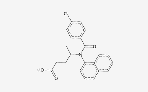 CC(CCC(=O)O)N(C(=O)c1ccc(Cl)cc1)c1cccc2ccccc12